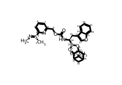 C/N=S(\C)c1cccc(COC(=O)N[C@@H](Cc2coc3ccccc23)B2OC3CC4CC(C3O2)C4(C)C)n1